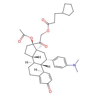 CC(=O)O[C@]1(C(=O)COC(=O)CCC2CCCC2)CC[C@H]2[C@@H]3CCC4=CC(=O)C=C[C@@H]4[C@H]3[C@@H](c3ccc(N(C)C)cc3)C[C@@]21C